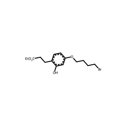 CCOC(=O)CCc1ccc(OCCCCBr)cc1O